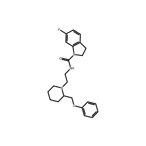 O=C(NCCN1CCCCC1COc1ccccc1)N1CCc2ccc(F)cc21